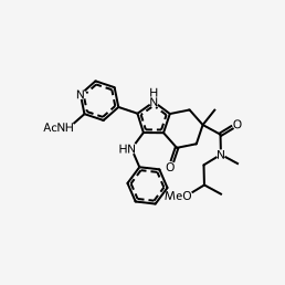 COC(C)CN(C)C(=O)C1(C)CC(=O)c2c([nH]c(-c3ccnc(NC(C)=O)c3)c2Nc2ccccc2)C1